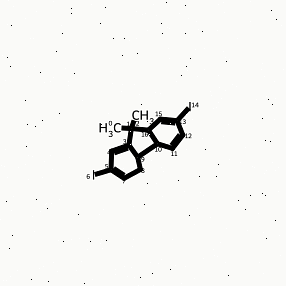 CC1(C)C2=CC(I)=CCC2C2C=CC(I)=CC21